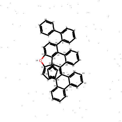 c1ccc(-c2ccccc2-c2ccc3oc4ccccc4c3c2-c2ccccc2-c2cccc3c4ccccc4c4ccccc4c23)cc1